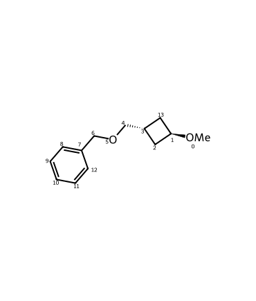 CO[C@H]1C[C@H](COCc2ccccc2)C1